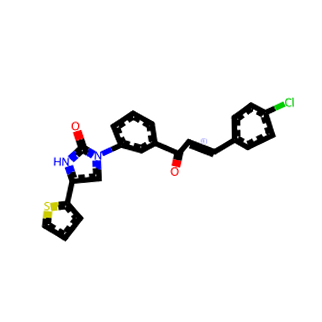 O=C(/C=C/c1ccc(Cl)cc1)c1cccc(-n2cc(-c3cccs3)[nH]c2=O)c1